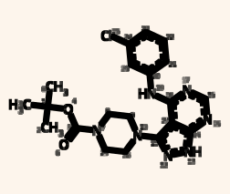 CC(C)(C)OC(=O)N1CCN(c2n[nH]c3ncnc(Nc4cccc(Cl)c4)c23)CC1